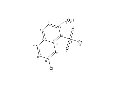 CCS(=O)(=O)c1c(C(=O)O)ccc2ncc(Cl)cc12